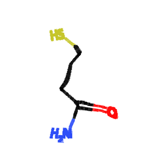 NC(=O)CCS